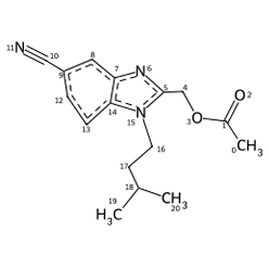 CC(=O)OCc1nc2cc(C#N)ccc2n1CCC(C)C